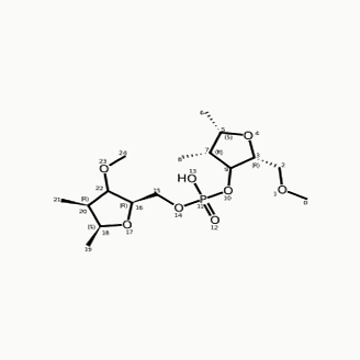 COC[C@H]1O[C@@H](C)[C@@H](C)C1OP(=O)(O)OC[C@H]1O[C@@H](C)[C@@H](C)C1OC